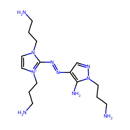 NCCCn1cc[n+](CCCN)c1/N=N/c1cnn(CCCN)c1N